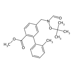 COC(=O)c1ccc(CN(C=O)OC(C)(C)C)cc1-c1ccccc1C